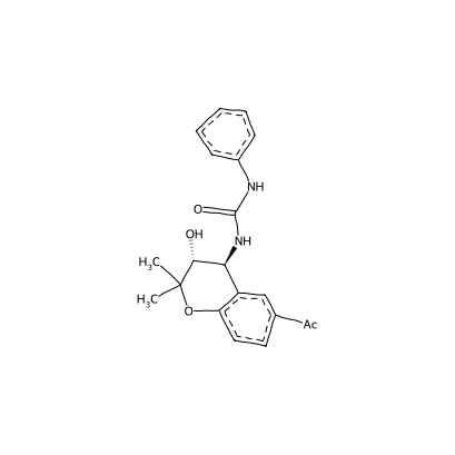 CC(=O)c1ccc2c(c1)[C@H](NC(=O)Nc1ccccc1)[C@@H](O)C(C)(C)O2